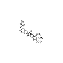 COc1c(C(=O)O)ccc(CN2C[C@@H]3C[C@H]2CN3Cc2ccc(OC(F)C(F)C(F)F)cc2)c1C